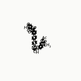 CC(=O)COc1cc2cc(Nc3nc(N4CCN(C5CCN(c6ccc7c(c6)C(=O)N(C6CCC(=O)NC6=O)C7=O)CC5)CC4)ncc3Cl)ccc2n(C)c1=O